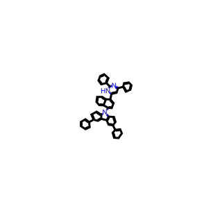 C1=CC(c2ccc3c(c2)c2cc(-c4ccccc4)ccc2n3-c2ccc(C3=CC(c4ccccc4)=NC(c4ccccc4)N3)c3ccccc23)=CCC1